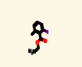 Cc1cccc(I)c1C(=O)OC[SiH3]